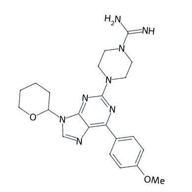 COc1ccc(-c2nc(N3CCN(C(=N)N)CC3)nc3c2ncn3C2CCCCO2)cc1